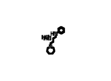 Cl.Cl.c1ccc(NCCCCN2CCCCCC2)cc1